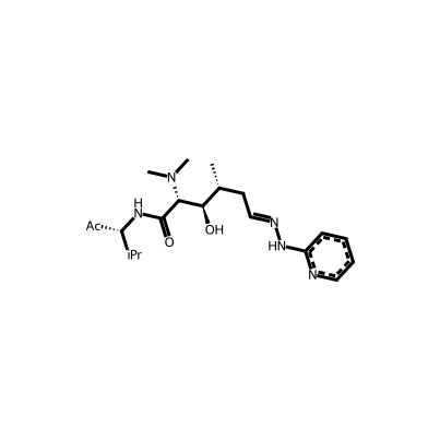 CC(=O)[C@H](NC(=O)[C@@H]([C@H](O)[C@H](C)C/C=N/Nc1ccccn1)N(C)C)C(C)C